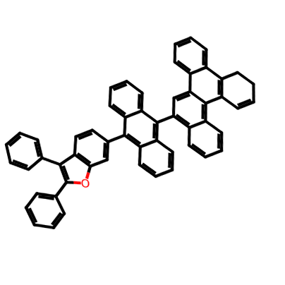 C1=Cc2c(c3ccccc3c3cc(-c4c5ccccc5c(-c5ccc6c(-c7ccccc7)c(-c7ccccc7)oc6c5)c5ccccc45)c4ccccc4c23)CC1